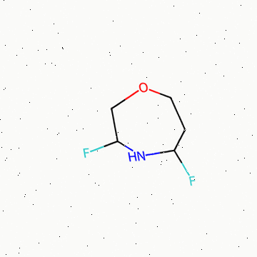 FC1CCOCC(F)N1